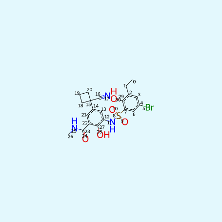 CCc1cc(Br)cc(S(=O)(=O)Nc2cc(C3(C#N)CCC3)cc(C(=O)NC)c2O)c1O